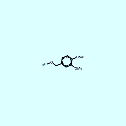 [CH2]CCOCc1ccc(OC)c(OC)c1